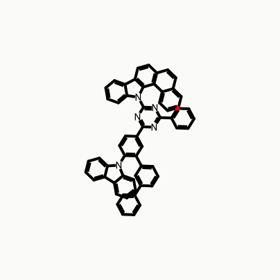 c1ccc(-c2cccc(-c3cc(-c4nc(-c5ccccc5)nc(-n5c6ccccc6c6ccc7ccc8ccccc8c7c65)n4)ccc3-n3c4ccccc4c4ccccc43)c2)cc1